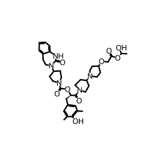 Cc1cc(C[C@@H](OC(=O)N2CCC(N3CCc4ccccc4NC3=O)CC2)C(=O)N2CCC(N3CCC(OCC(=O)OC(C)O)CC3)CC2)cc(C)c1O